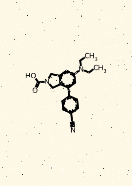 CCN(CC)c1cc2c(c(-c3ccc(C#N)cc3)c1)CN(C(=O)O)C2